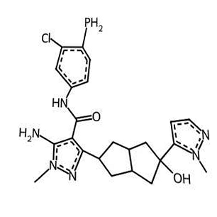 Cn1nccc1C1(O)CC2CC(c3nn(C)c(N)c3C(=O)Nc3ccc(P)c(Cl)c3)CC2C1